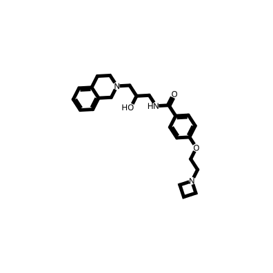 O=C(NCC(O)CN1CCc2ccccc2C1)c1ccc(OCCN2CCC2)cc1